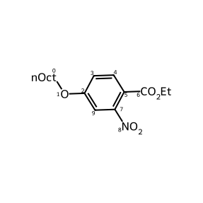 CCCCCCCCOc1ccc(C(=O)OCC)c([N+](=O)[O-])c1